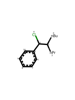 CCCCC(CCC)C(Cl)c1ccccc1